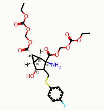 CCOC(=O)OCOC(=O)[C@H]1[C@H]2[C@@H]1[C@](N)(C(=O)OCOC(=O)OCC)C(CSc1ccc(F)cc1)[C@H]2O